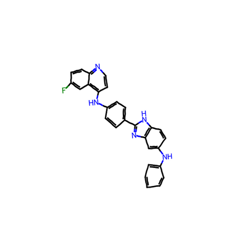 Fc1ccc2nccc(Nc3ccc(-c4nc5cc(Nc6ccccc6)ccc5[nH]4)cc3)c2c1